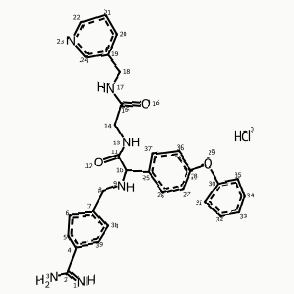 Cl.N=C(N)c1ccc(CNC(C(=O)NCC(=O)NCc2cccnc2)c2ccc(Oc3ccccc3)cc2)cc1